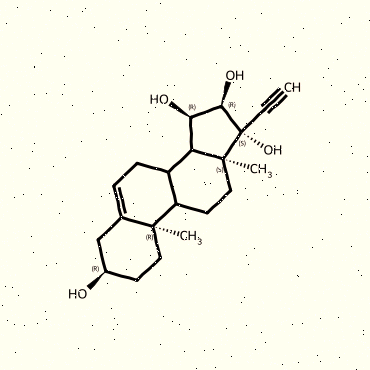 C#C[C@]1(O)[C@H](O)[C@H](O)C2C3CC=C4C[C@H](O)CC[C@]4(C)C3CC[C@@]21C